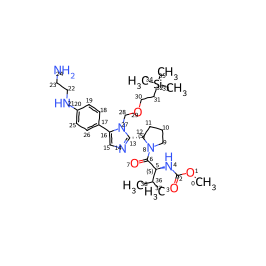 COC(=O)N[C@H](C(=O)N1CCC[C@H]1c1ncc(-c2ccc(NCCN)cc2)n1COCC[Si](C)(C)C)C(C)C